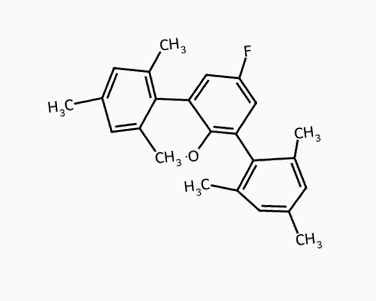 Cc1cc(C)c(-c2cc(F)cc(-c3c(C)cc(C)cc3C)c2[O])c(C)c1